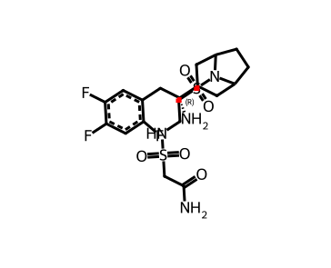 NC(=O)CS(=O)(=O)NCCS(=O)(=O)N1C2CCC1CC([C@H](N)Cc1cc(F)c(F)cc1F)C2